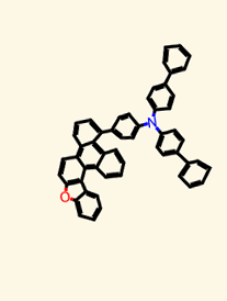 c1ccc(-c2ccc(N(c3ccc(-c4ccccc4)cc3)c3ccc(-c4cccc5c6ccc7oc8ccccc8c7c6c6ccccc6c45)cc3)cc2)cc1